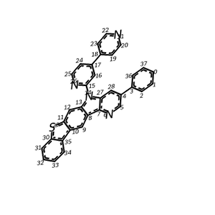 c1ccc(-c2cnc3c4cc5c(cc4n(-c4cc(-c6ccncc6)ccn4)c3c2)sc2ccccc25)cc1